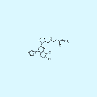 COC(=O)CCNCC1CCCN1c1cc(-n2ccnc2)c2ccc(Cl)c(Cl)c2n1